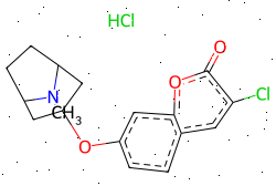 CN1C2CCC1CC(Oc1ccc3cc(Cl)c(=O)oc3c1)C2.Cl